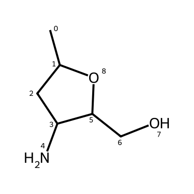 CC1CC(N)C(CO)O1